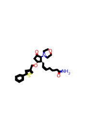 NC(=O)CCC/C=C\C[C@H]1[C@H](N2CCOCC2)C(=O)C[C@H]1OCc1csc(-c2ccccc2)c1